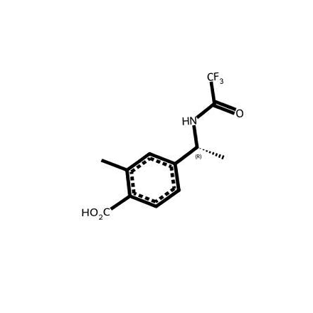 Cc1cc([C@@H](C)NC(=O)C(F)(F)F)ccc1C(=O)O